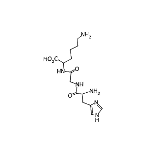 NCCCCC(NC(=O)CNC(=O)C(N)Cc1c[nH]cn1)C(=O)O